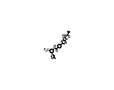 Cc1cn(-c2cc(NC(=O)c3ccc(-c4cnc5nc(NC(=O)C6CC6)sc5n4)cc3)cc(C(F)(F)F)c2)cn1